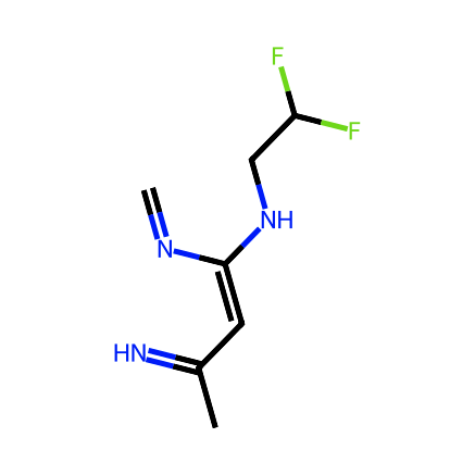 C=N/C(=C\C(C)=N)NCC(F)F